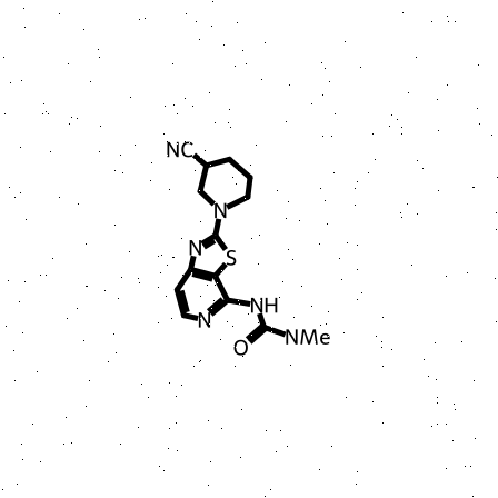 CNC(=O)Nc1nccc2nc(N3CCCC(C#N)C3)sc12